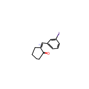 O=C1CCCC/C1=C/c1cccc(I)c1